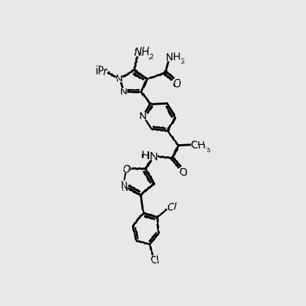 CC(C(=O)Nc1cc(-c2ccc(Cl)cc2Cl)no1)c1ccc(-c2nn(C(C)C)c(N)c2C(N)=O)nc1